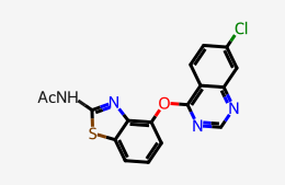 CC(=O)Nc1nc2c(Oc3ncnc4cc(Cl)ccc34)cccc2s1